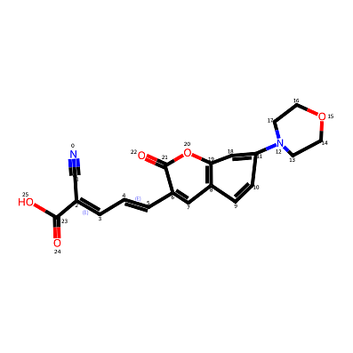 N#C/C(=C\C=C\c1cc2ccc(N3CCOCC3)cc2oc1=O)C(=O)O